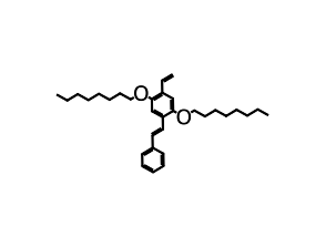 C=Cc1cc(OCCCCCCCC)c(C=Cc2ccccc2)cc1OCCCCCCCC